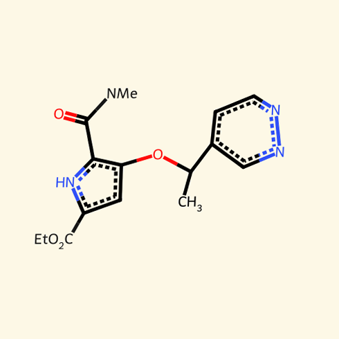 CCOC(=O)c1cc(OC(C)c2ccnnc2)c(C(=O)NC)[nH]1